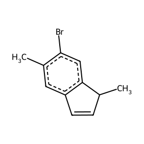 Cc1cc2c(cc1Br)C(C)C=C2